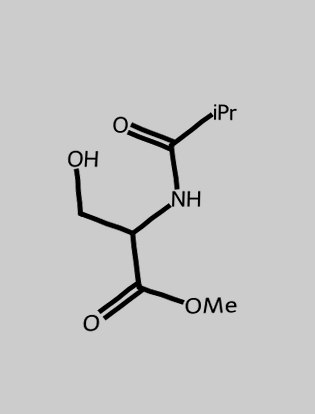 COC(=O)C(CO)NC(=O)C(C)C